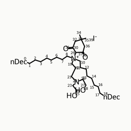 CCCCCCCCCCCCCCCCCC[N+](CCCCCCCCCCCCCCCCCC)(CCCN(CCO)CCO)C1C(=O)CC(C)(C)CC1=O.[I-]